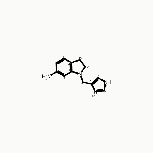 Nc1ccc2c(c1)N(Cc1c[nH]cn1)CC2